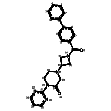 O=C(c1ccc(-c2ccccc2)cc1)N1CC(N2CCN(c3ncccn3)C(=O)C2)C1